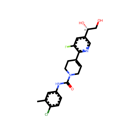 Cc1cc(NC(=O)N2CC=C(c3ncc([C@H](O)CO)cc3F)CC2)ccc1Cl